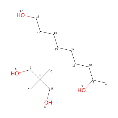 CC(C)(CO)CO.CC(O)CCCCCCCO